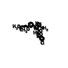 CN(C)CC=CC(=O)N1CCCC(n2nc(C(=O)Nc3nc4cc(Cl)ccc4o3)c3c(N)ncnc32)C1